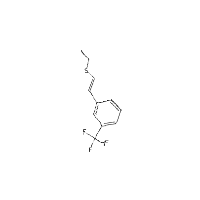 CCS/C=C/c1cccc(C(F)(F)F)c1